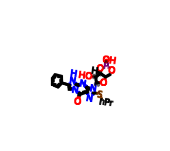 CCCSc1nc2c(=O)n3cc(-c4ccccc4)[nH]c3nc2n1[C@@H]1OC2COP(O)O[C@H]2[C@@H]1O